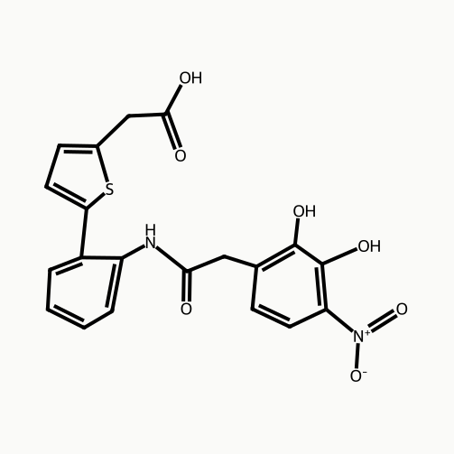 O=C(O)Cc1ccc(-c2ccccc2NC(=O)Cc2ccc([N+](=O)[O-])c(O)c2O)s1